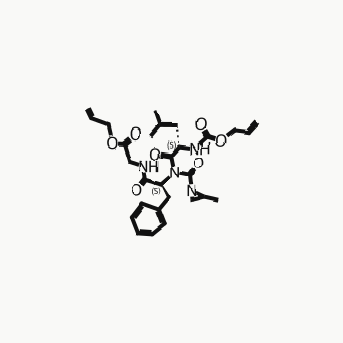 C=CCOC(=O)CNC(=O)[C@H](Cc1ccccc1)N(C(=O)[C@H](CC(C)C)NC(=O)OCC=C)C(=O)N1CC1C